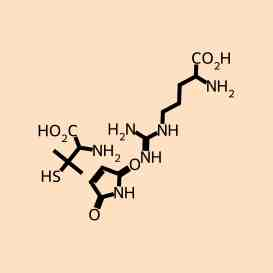 CC(C)(S)C(N)C(=O)O.N=C(N)NCCCC(N)C(=O)O.O=C1C=CC(=O)N1